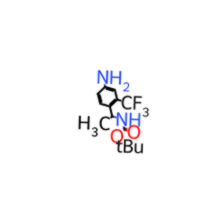 CC(NC(=O)OC(C)(C)C)c1ccc(N)cc1C(F)(F)F